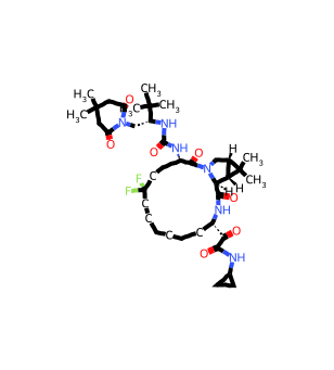 CC1(C)CC(=O)N(C[C@@H](NC(=O)N[C@H]2CCC(F)(F)CCCCCC[C@@H](C(=O)C(=O)NC3CC3)NC(=O)[C@@H]3[C@@H]4[C@H](CN3C2=O)C4(C)C)C(C)(C)C)C(=O)C1